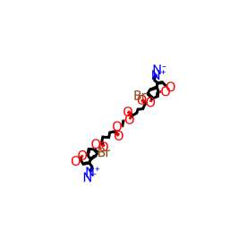 [N-]=[N+]=Cc1cc(=O)oc2cc(OC(=O)CCCC(=O)OCCOC(=O)CCCC(=O)Oc3cc4oc(=O)cc(C=[N+]=[N-])c4cc3Br)c(Br)cc12